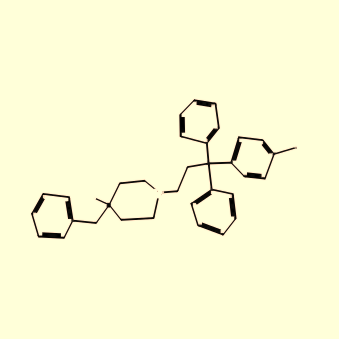 CCc1ccc(C(CCN2CCC(O)(Cc3ccccc3)CC2)(c2ccccc2)c2ccccc2)cc1